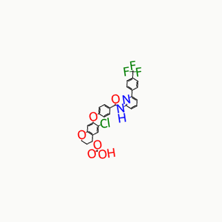 O=C(O)OC1CCOc2cc(Oc3ccc(C(=O)Nc4cccc(-c5ccc(C(F)(F)F)cc5)n4)cc3)c(Cl)cc21